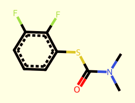 CN(C)C(=O)Sc1cccc(F)c1F